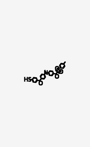 Cc1ccc(S(=O)(=O)C(C)(C)C(=O)c2ccc(N(C)c3ccc(C(=O)c4ccc(S)cc4)cc3)cc2)cc1